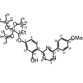 CCC(Oc1ccc(-c2ncnc(-c3ccc(OC)cc3)n2)c(O)c1)[Si](O[Si](C)(C)C)(O[Si](C)(C)C)O[Si](C)(C)C